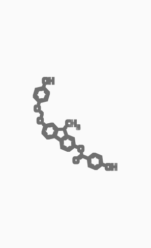 CC1c2cc(OCOc3ccc(O)cc3)ccc2-c2ccc(OC(=O)c3ccc(O)cc3)cc21